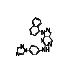 c1ccc2c(-n3ncc4cnc(Nc5ccc(-n6cncn6)cc5)nc43)cccc2c1